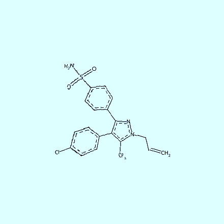 C=CCn1nc(-c2ccc(S(N)(=O)=O)cc2)c(-c2ccc(Cl)cc2)c1C(F)(F)F